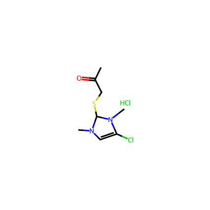 CC(=O)CSC1N(C)C=C(Cl)N1C.Cl